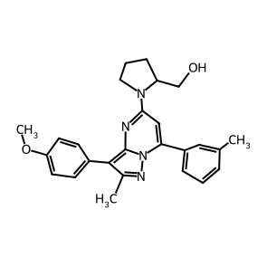 COc1ccc(-c2c(C)nn3c(-c4cccc(C)c4)cc(N4CCCC4CO)nc23)cc1